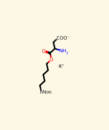 CCCCCCCCCCCCCCOC(=O)C(N)CC(=O)[O-].[K+]